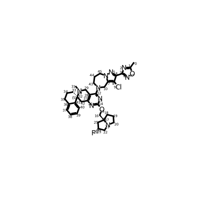 Cc1nc(-c2nn3c(c2Cl)CN(c2nc(OC[C@@]45CCCN4C[C@H](F)C5)nc4c2CN(C)[C@@]2(CCCc5ccccc52)C4)CCC3)no1